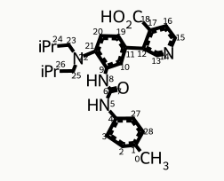 Cc1ccc(NC(=O)Nc2cc(-c3cnccc3C(=O)O)ccc2N(CC(C)C)CC(C)C)cc1